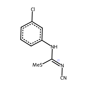 CS/C(=N\C#N)Nc1cccc(Cl)c1